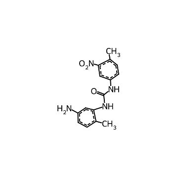 Cc1ccc(N)cc1NC(=O)Nc1ccc(C)c([N+](=O)[O-])c1